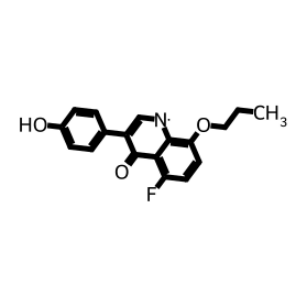 CCCOc1ccc(F)c2c1[N]C=C(c1ccc(O)cc1)C2=O